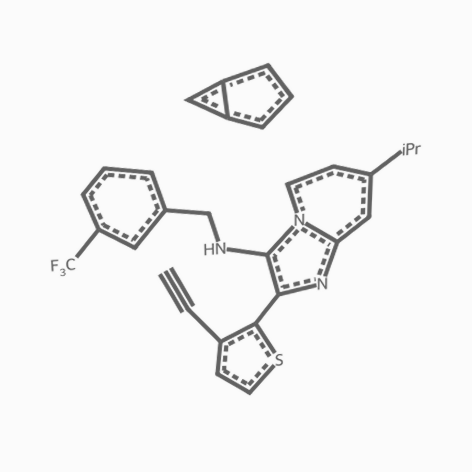 C#Cc1ccsc1-c1nc2cc(C(C)C)ccn2c1NCc1cccc(C(F)(F)F)c1.c1cc2cc-2c1